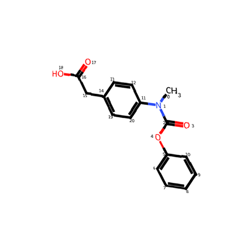 CN(C(=O)Oc1ccccc1)c1ccc(CC(=O)O)cc1